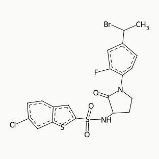 CC(Br)c1ccc(N2CCC(NS(=O)(=O)c3cc4ccc(Cl)cc4s3)C2=O)c(F)c1